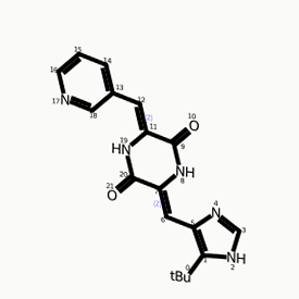 CC(C)(C)c1[nH]cnc1/C=c1\[nH]c(=O)/c(=C/c2cccnc2)[nH]c1=O